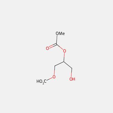 COC(=O)OC(CO)COC(=O)O